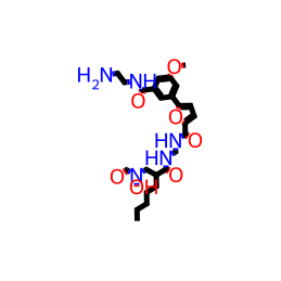 CCCCCC(CN(O)C=O)C(=O)NCNC(=O)c1ccc(-c2cc(OC)cc(C(=O)NCCN)c2)o1